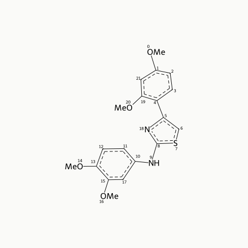 COc1ccc(-c2csc(Nc3ccc(OC)c(OC)c3)n2)c(OC)c1